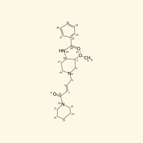 COC1CN(CC=CC(=O)N2CCCCC2)CCC1NC(=O)c1ccccc1